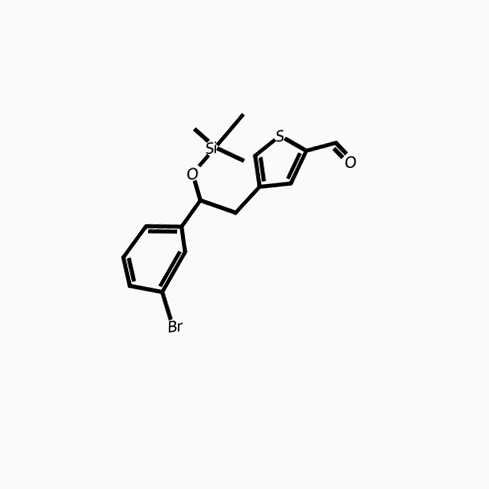 C[Si](C)(C)OC(Cc1csc(C=O)c1)c1cccc(Br)c1